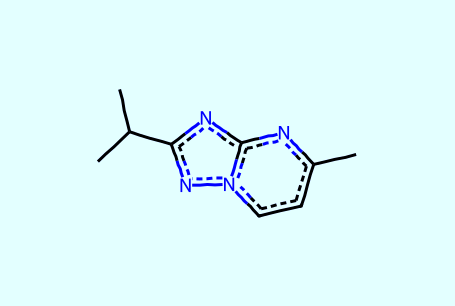 Cc1ccn2nc(C(C)C)nc2n1